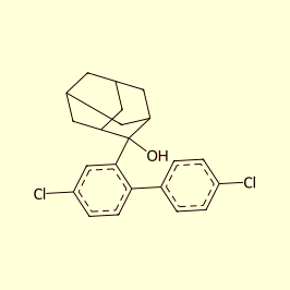 OC1(c2cc(Cl)ccc2-c2ccc(Cl)cc2)C2CC3CC(C2)CC1C3